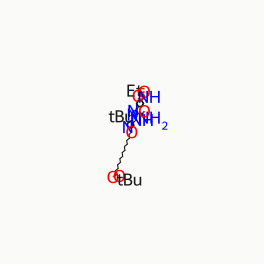 CCS(=O)(=O)Nc1ccc(-c2nn(C(C)(C)C)c(Nc3ccnc(OCCCCCCCCCCCCCC(=O)OC(C)(C)C)c3)c2C(N)=O)cc1